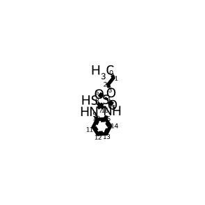 CCCOS(=O)(=O)C1(S)Nc2ccccc2N1